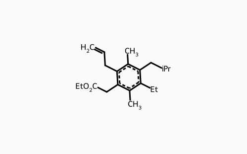 C=CCc1c(C)c(CC(C)C)c(CC)c(C)c1CC(=O)OCC